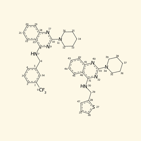 FC(F)(F)c1cccc(CNc2nc(N3CCCCC3)nc3ccccc23)c1.c1csc(CNc2nc(N3CCCCC3)nc3ccccc23)c1